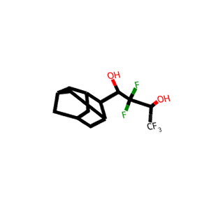 OC(C1C2CC3CC(C2)CC1C3)C(F)(F)C(O)C(F)(F)F